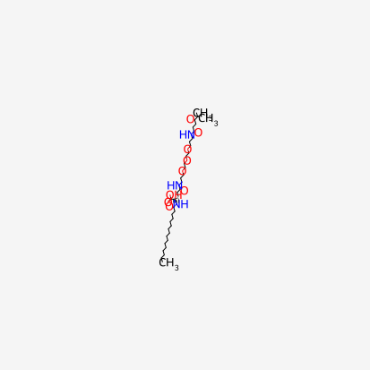 CCCCCCCCCCCCCCCC(=O)N[C@@H](CCC(=O)NCCCOCCOCCOCCCNC(=O)CCC(=O)C(C)C)C(=O)O